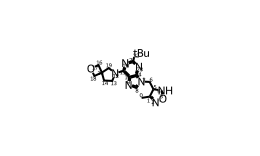 CC1=NONC1Cn1cnc2c(N3CCC4(COC4)C3)nc(C(C)(C)C)nc21